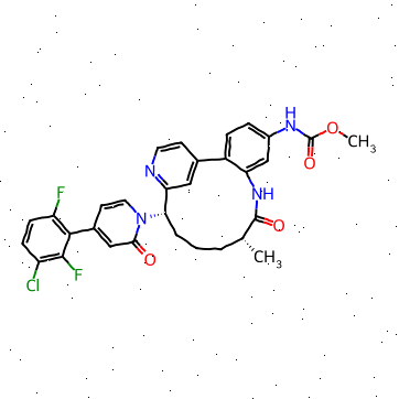 COC(=O)Nc1ccc2c(c1)NC(=O)[C@H](C)CCC[C@H](n1ccc(-c3c(F)ccc(Cl)c3F)cc1=O)c1cc-2ccn1